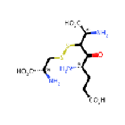 N[C@H](C(=O)O)C(SSC[C@H](N)C(=O)O)C(=O)[C@@H](N)CCC(=O)O